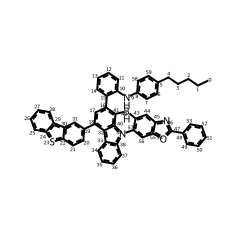 CCCCCc1ccc(Nc2ccccc2-c2cc(-c3ccc4sc5ccccc5c4c3)c3c4ccccc4n4c3c2Bc2cc3nc(-c5ccccc5)oc3cc2-4)cc1